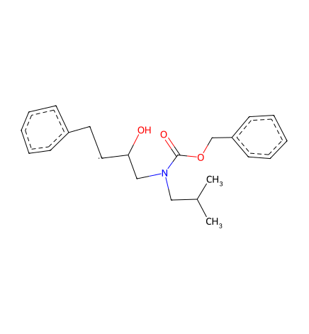 CC(C)CN(CC(O)[CH]Cc1ccccc1)C(=O)OCc1ccccc1